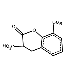 COc1cccc2c1OC(=O)C(C(=O)O)C2